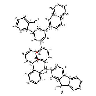 CC1(C)c2ccccc2-c2ccc(N(c3ccc(-c4cc(-c5ccc6ccccc6c5)c5oc6ccccc6c5c4)cc3)c3ccccc3-c3ccccc3)cc21